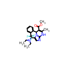 CCN(CC)Cc1cnc2n1C(c1ccccc1C(F)(F)F)C(C(=O)OC)=C(C)N2